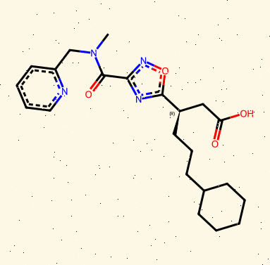 CN(Cc1ccccn1)C(=O)c1noc([C@H](CCCC2CCCCC2)CC(=O)O)n1